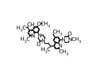 CCc1cc(N2CCN(C)C(=O)C2)c2nc(C)cc(C(C)CCN3CCN(c4cc(OC)cc5c(C(C)C)cc(C)nc45)CC3=O)c2c1